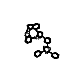 c1ccc(-c2nc(-c3ccccc3)nc(-c3cccc(-c4ccc5c(c4)Nc4cccc6c4Oc4c(ccc7cccc-5c47)S6)c3)n2)cc1